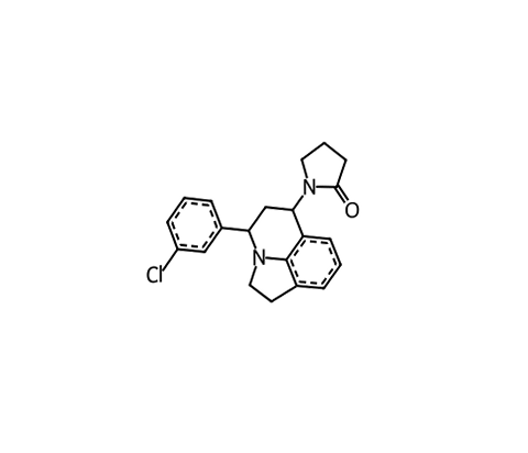 O=C1CCCN1C1CC(c2cccc(Cl)c2)N2CCc3cccc1c32